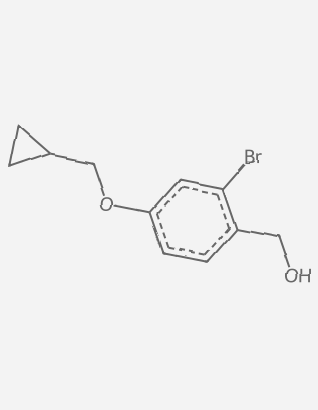 OCc1ccc(OCC2CC2)cc1Br